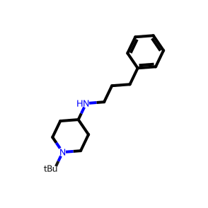 CC(C)(C)N1CCC(NCCCc2ccccc2)CC1